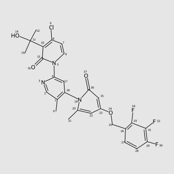 Cc1cnc(-n2ccc(Cl)c(C(C)(C)O)c2=O)cc1-n1c(C)cc(OCc2ccc(F)c(F)c2F)cc1=O